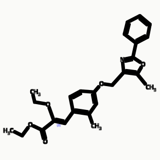 CCOC(=O)/C(=C/c1ccc(OCc2nc(-c3ccccc3)oc2C)cc1C)OCC